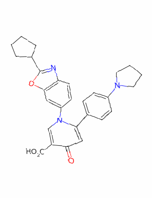 O=C(O)c1cn(-c2ccc3nc(C4CCCC4)oc3c2)c(-c2ccc(N3CCCC3)cc2)cc1=O